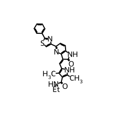 CCNC(=O)c1c(C)[nH]c(/C=C2\C(=O)Nc3ccc(-c4csc(-c5ccccc5)n4)nc32)c1C